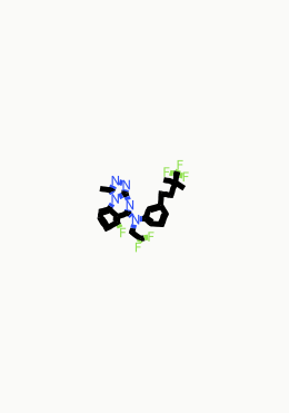 Cc1nnc2nc(N(CC(F)F)c3cccc(CCC(C)(C)C(F)(F)F)c3)c3c(F)cccc3n12